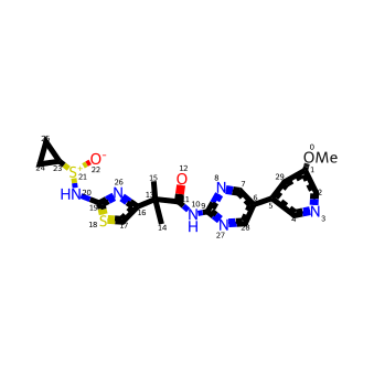 COc1cncc(-c2cnc(NC(=O)C(C)(C)c3csc(N[S+]([O-])C4CC4)n3)nc2)c1